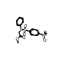 COC(=O)CN(c1ccccc1)S(=O)(=O)c1ccc([N+](=O)[O-])cc1